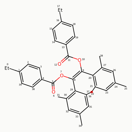 CCc1ccc(C(=O)OC(=C(OC(=O)c2ccc(CC)cc2)c2c(C)cc(C)cc2C)c2c(C)cc(C)cc2C)cc1